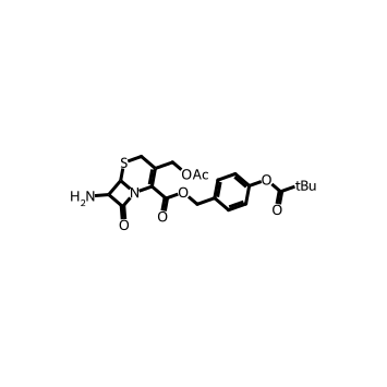 CC(=O)OCC1=C(C(=O)OCc2ccc(OC(=O)C(C)(C)C)cc2)N2C(=O)C(N)C2SC1